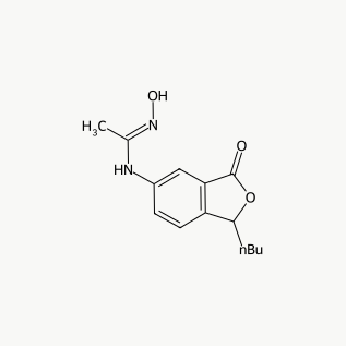 CCCCC1OC(=O)c2cc(NC(C)=NO)ccc21